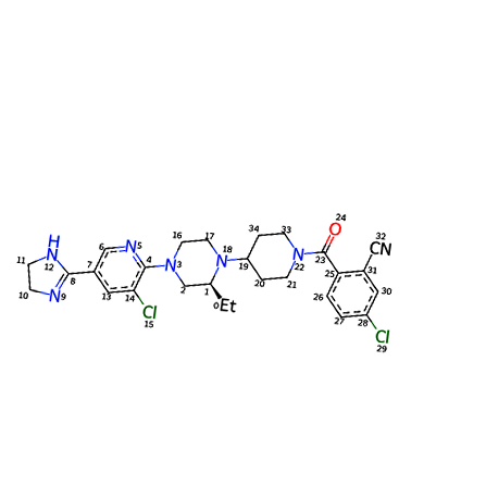 CC[C@H]1CN(c2ncc(C3=NCCN3)cc2Cl)CCN1C1CCN(C(=O)c2ccc(Cl)cc2C#N)CC1